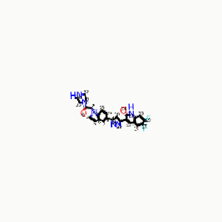 O=C(Cn1ccc2cc(C3C=C(c4cc5cc(F)c(F)cc5[nH]c4=O)N=N3)ccc21)N1CCNCC1